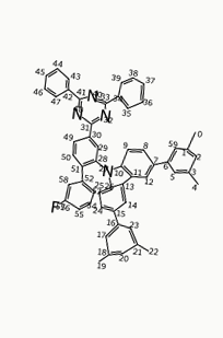 Cc1cc(C)cc(-c2ccc3c(c2)c2cc(-c4cc(C)cc(C)c4)ccc2n3-c2cc(-c3nc(-c4ccccc4)nc(-c4ccccc4)n3)ccc2-c2cccc(F)c2)c1